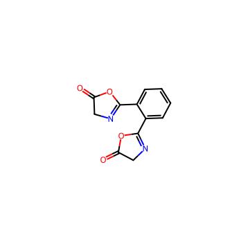 O=C1CN=C(c2ccccc2C2=NCC(=O)O2)O1